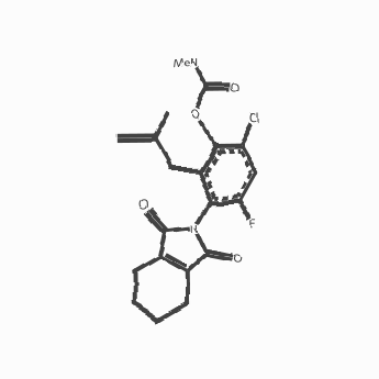 C=C(C)Cc1c(OC(=O)NC)c(Cl)cc(F)c1N1C(=O)C2=C(CCCC2)C1=O